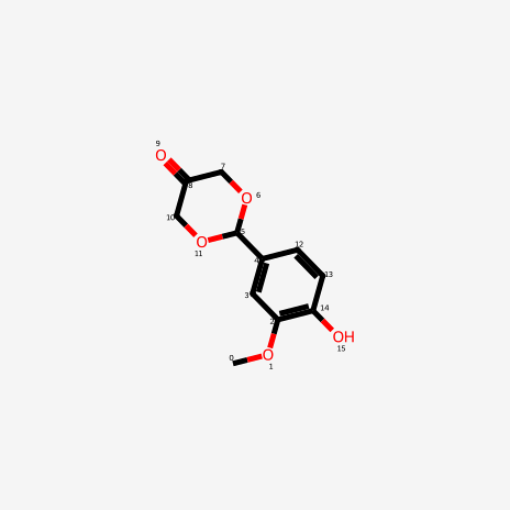 COc1cc(C2OCC(=O)CO2)ccc1O